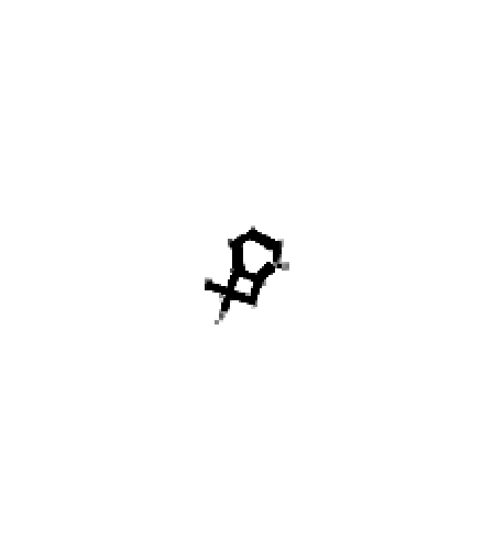 CC1(F)Cc2ncccc21